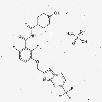 CN1CCC(C(=O)NC(=O)c2c(F)ccc(OCc3nc4cc(C(F)(F)F)cnc4s3)c2F)CC1.CS(=O)(=O)O